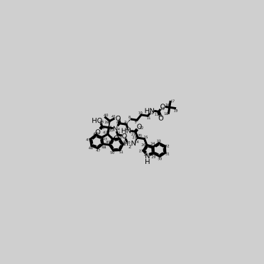 COC(=O)N(C(=O)[C@H](CCCCNC(=O)OC(C)(C)C)NC(=O)[C@H](N)Cc1c[nH]c2ccccc12)[C@](C(=O)O)(C(C)C)C1c2ccccc2-c2ccccc21